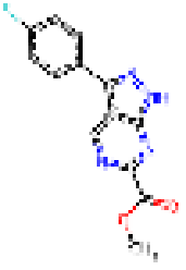 COC(=O)c1ncc2c(-c3ccc(F)cc3)n[nH]c2n1